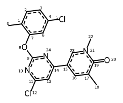 Cc1ccc(Cl)cc1Oc1nc(Cl)cc(-c2cc(C)c(=O)n(C)c2)n1